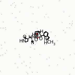 Cc1cc2cccc(C(=O)N3[C@H]4CC[C@@H]([C@@H]3C(=O)N[C@@H](C#N)C[C@H]3CCNC3=O)C(F)(F)C4)c2[nH]1